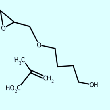 C=C(C)C(=O)O.OCCCCOCC1CO1